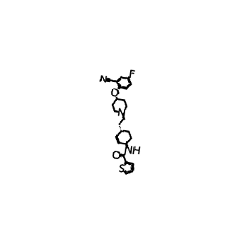 N#Cc1cc(F)ccc1OC1CCN(CC[C@H]2CC[C@H](NC(=O)c3cccs3)CC2)CC1